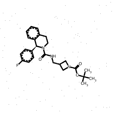 CC(C)(C)OC(=O)N1CC(CNC(=O)N2CCc3ccccc3[C@@H]2c2ccc(F)cc2)C1